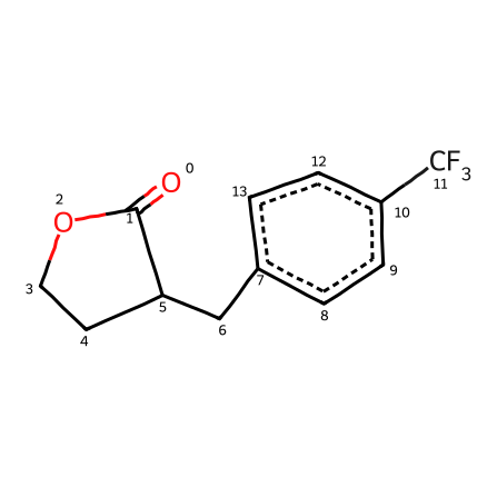 O=C1OCCC1Cc1ccc(C(F)(F)F)cc1